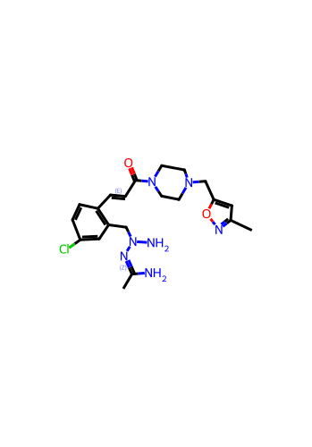 C/C(N)=N/N(N)Cc1cc(Cl)ccc1/C=C/C(=O)N1CCN(Cc2cc(C)no2)CC1